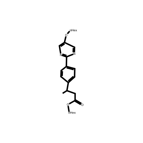 CCCCCCOC(=O)CC(C)c1ccc(-c2ncc(OCCCCCC)cn2)cc1